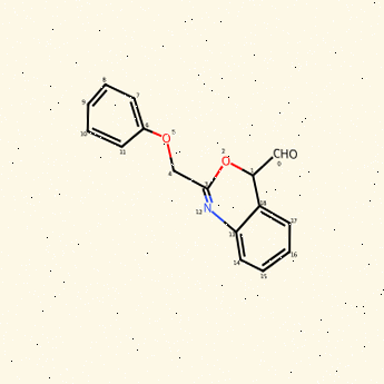 O=CC1OC(COc2ccccc2)=Nc2ccccc21